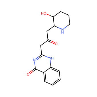 O=C(Cc1nc(=O)c2ccccc2[nH]1)CC1NCCCC1O